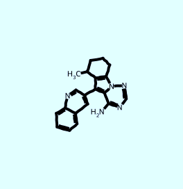 CC1CCCc2c1c(-c1cnc3ccccc3c1)c1c(N)ncnn21